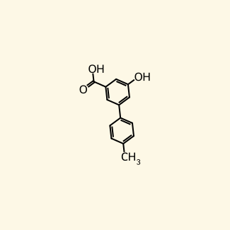 Cc1ccc(-c2cc(O)cc(C(=O)O)c2)cc1